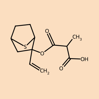 C=CC1(OC(=O)C(C)C(=O)O)CC2CCC1S2